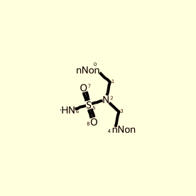 CCCCCCCCCCN(CCCCCCCCCC)S([NH])(=O)=O